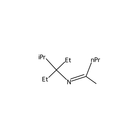 CCC/C(C)=N\C(CC)(CC)C(C)C